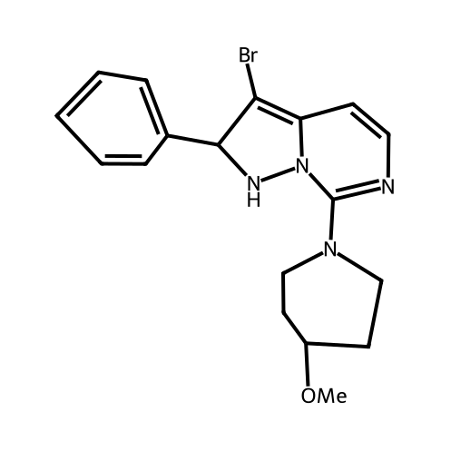 COC1CCN(C2=NC=CC3=C(Br)C(c4ccccc4)NN23)CC1